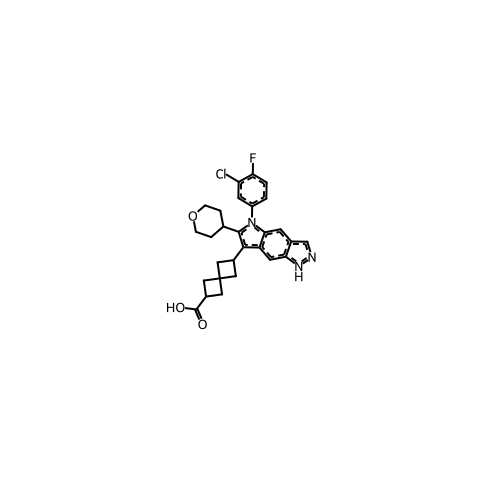 O=C(O)C1CC2(C1)CC(c1c(C3CCOCC3)n(-c3ccc(F)c(Cl)c3)c3cc4cn[nH]c4cc13)C2